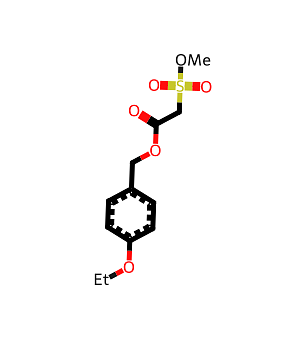 CCOc1ccc(COC(=O)CS(=O)(=O)OC)cc1